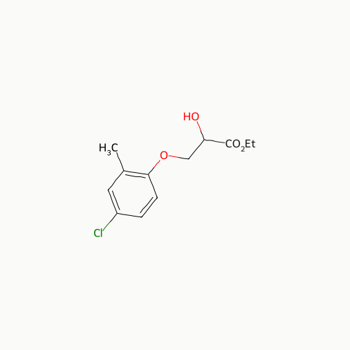 CCOC(=O)C(O)COc1ccc(Cl)cc1C